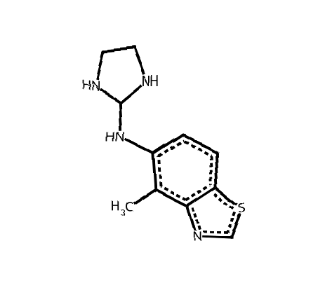 Cc1c(NC2NCCN2)ccc2scnc12